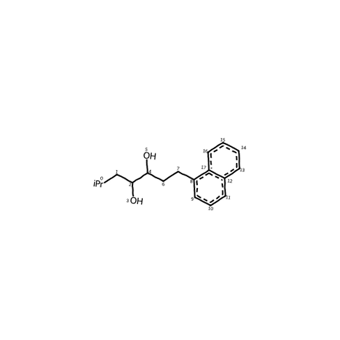 CC(C)CC(O)C(O)CCc1cccc2ccccc12